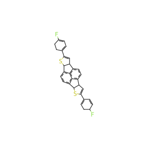 FC1=CC=C(C2=CC3c4ccc5c6c(ccc(c46)C3S2)C2SC(C3=CCC(F)C=C3)=CC52)CC1